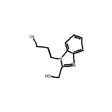 [C-]#[N+]CCCn1c(CO)nc2ccccc21